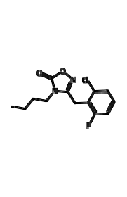 CCCCn1c(Cc2c(F)cccc2Cl)noc1=O